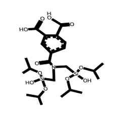 CC(C)O[Si](O)(CN(C[Si](O)(OC(C)C)OC(C)C)C(=O)c1ccc(C(=O)O)c(C(=O)O)c1)OC(C)C